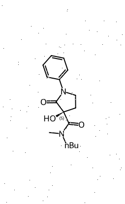 CCCCN(C)C(=O)[C@@]1(O)CCN(c2ccccc2)C1=O